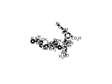 CC[C@H](C)[C@@H]([C@@H](CC(=O)N1CCC[C@H]1C[C@@H](C)C(=O)N[C@H](C)[C@@H](O)c1ccccc1)OC)N(C)C(=O)[C@@H](NC(=O)[C@H](C(C)C)N(C)C(=O)OCc1ccc(NC(=O)[C@H](CCCNC(N)=O)NC(=O)[C@@H](NC(=O)CN2CCN(CC(=O)O)CCN(CC(=O)NCCOCCC(C)=O)CC2)C(C)C)cc1)C(C)C